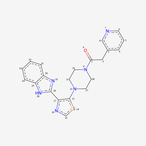 O=C(Cc1cccnc1)N1CCN(c2scnc2-c2nc3ccccc3[nH]2)CC1